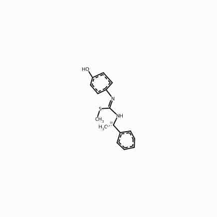 CSC(=Nc1ccc(O)cc1)N[C@@H](C)c1ccccc1